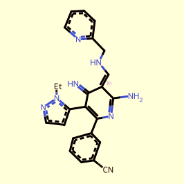 CCn1nccc1C1=C(c2cccc(C#N)c2)N=C(N)/C(=C/NCc2ccccn2)C1=N